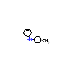 CC1C=CC(NC2CC=CCC2)CC1